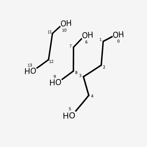 OCCCCO.OCCO.OCCO